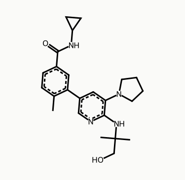 Cc1ccc(C(=O)NC2CC2)cc1-c1cnc(NC(C)(C)CO)c(N2CCCC2)c1